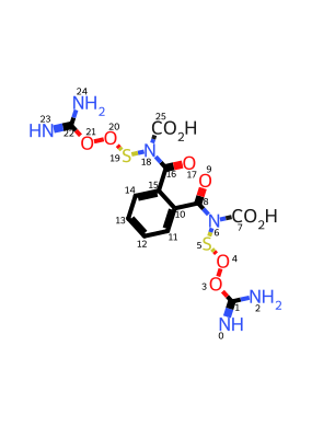 N=C(N)OOSN(C(=O)O)C(=O)c1ccccc1C(=O)N(SOOC(=N)N)C(=O)O